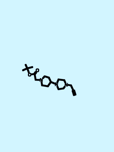 C#CCN1CCN(C2CCN(CC(=O)OC(C)(C)C)CC2)CC1